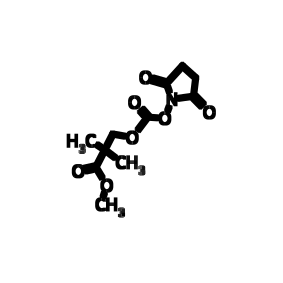 COC(=O)C(C)(C)COC(=O)ON1C(=O)CCC1=O